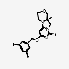 O=c1nc(OCc2cc(F)cc(F)c2)cc2n1C[C@H]1COCCN21